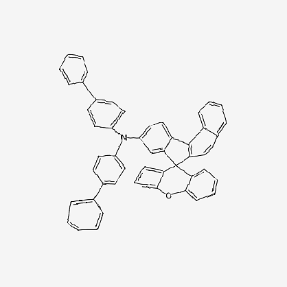 c1ccc(-c2ccc(N(c3ccc(-c4ccccc4)cc3)c3ccc4c(c3)C3(c5ccccc5Oc5ccccc53)c3ccc5ccccc5c3-4)cc2)cc1